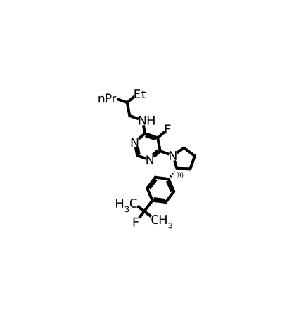 CCCC(CC)CNc1ncnc(N2CCC[C@@H]2c2ccc(C(C)(C)F)cc2)c1F